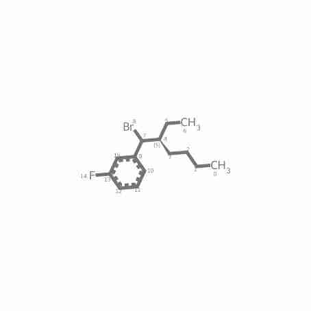 CCCC[C@H](CC)C(Br)c1cccc(F)c1